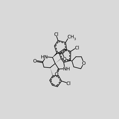 Cc1cc(OC2CCOCC2)c([C@@H]2NC(=O)C[C@@H](c3cccc(Cl)c3)[C@]23C(=O)Nc2cc(Cl)ccc23)cc1Cl